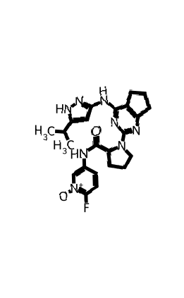 CC(C)c1cc(Nc2nc(N3CCCC3C(=O)Nc3ccc(F)[n+]([O-])c3)nc3c2CCC3)n[nH]1